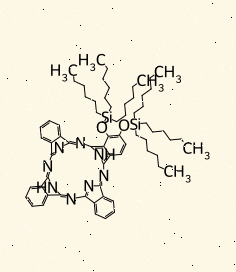 CCCCCC[Si](CCCCCC)(CCCCCC)Oc1ccc2c3nc4nc(nc5[nH]c(nc6nc(nc([nH]3)c2c1O[Si](CCCCCC)(CCCCCC)CCCCCC)-c1ccccc1-6)c1ccccc51)-c1ccccc1-4